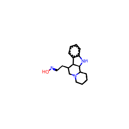 ON=CCC1CN2CCCCC2C2Nc3ccccc3C12